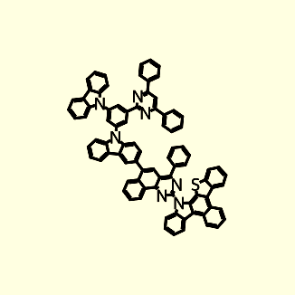 c1ccc(-c2cc(-c3ccccc3)nc(-c3cc(-n4c5ccccc5c5ccccc54)cc(-n4c5ccccc5c5cc(-c6cc7c(-c8ccccc8)nc(-n8c9ccccc9c9c%10ccccc%10c%10c%11ccccc%11sc%10c98)nc7c7ccccc67)ccc54)c3)n2)cc1